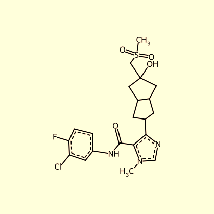 Cn1cnc(C2CC3CC(O)(CS(C)(=O)=O)CC3C2)c1C(=O)Nc1ccc(F)c(Cl)c1